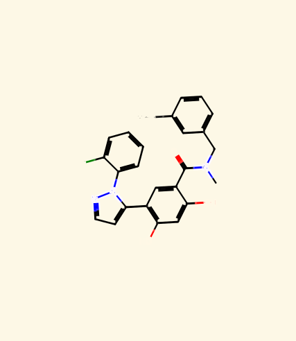 COc1cccc(CN(C)C(=O)c2cc(-c3ccnn3-c3ccccc3Cl)c(O)cc2O)c1